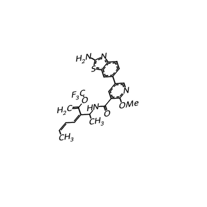 C=C(OC(F)(F)F)/C(=C\C=C/C)C(C)NC(=O)c1cc(-c2ccc3nc(N)sc3c2)cnc1OC